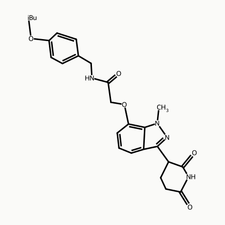 CCC(C)Oc1ccc(CNC(=O)COc2cccc3c(C4CCC(=O)NC4=O)nn(C)c23)cc1